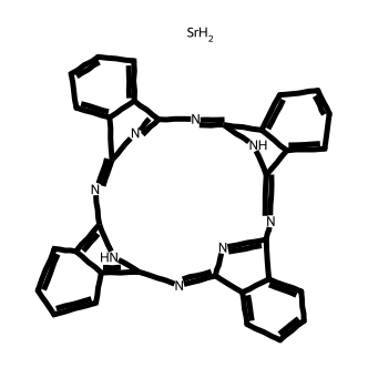 [SrH2].c1ccc2c(c1)-c1nc-2nc2[nH]c(nc3nc(nc4[nH]c(n1)c1ccccc41)-c1ccccc1-3)c1ccccc21